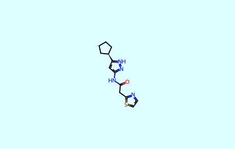 O=C(Cc1nccs1)Nc1cc([C@H]2C[CH]CC2)[nH]n1